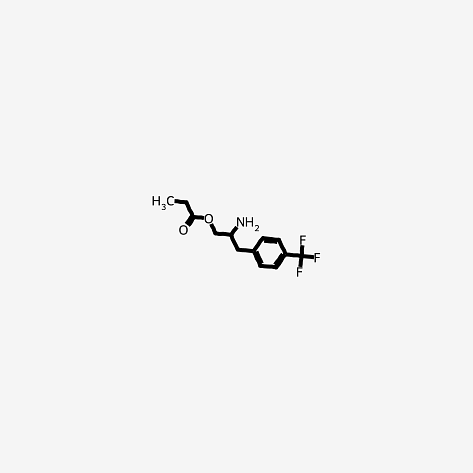 CCC(=O)OCC(N)Cc1ccc(C(F)(F)F)cc1